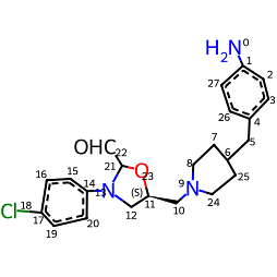 Nc1ccc(CC2CCN(C[C@H]3CN(c4ccc(Cl)cc4)C(C=O)O3)CC2)cc1